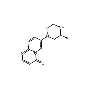 C[C@H]1CN(c2ccc3nccc(=O)n3c2)CCN1